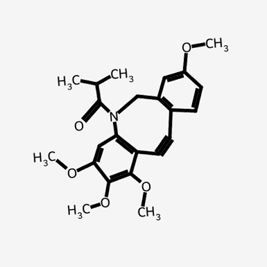 COc1ccc2c(c1)CN(C(=O)C(C)C)c1cc(OC)c(OC)c(OC)c1C#C2